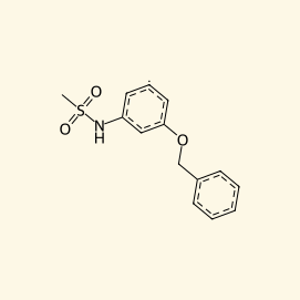 CS(=O)(=O)Nc1c[c]cc(OCc2ccccc2)c1